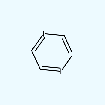 C1=IC=II=C1